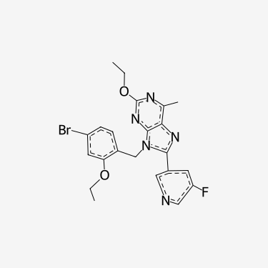 CCOc1nc(C)c2nc(-c3cncc(F)c3)n(Cc3ccc(Br)cc3OCC)c2n1